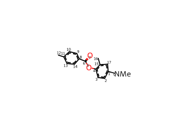 CNc1ccc(OC(=O)c2ccc(C)cc2)c(C)c1